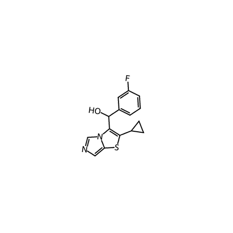 OC(c1cccc(F)c1)c1c(C2CC2)sc2cncn12